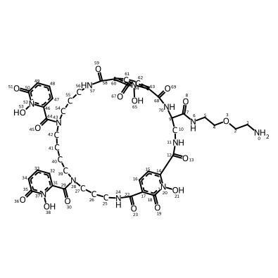 NCCOCCNC(=O)C1CNC(=O)c2ccc(c(=O)n2O)C(=O)NCCCN(C(=O)c2cccc(=O)n2O)CCCCN(C(=O)c2cccc(=O)n2O)CCCNC(=O)c2ccc(n(O)c2=O)C(=O)N1